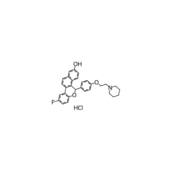 Cl.Oc1ccc2c3c(ccc2c1)-c1cc(F)ccc1OC3c1ccc(OCCN2CCCCC2)cc1